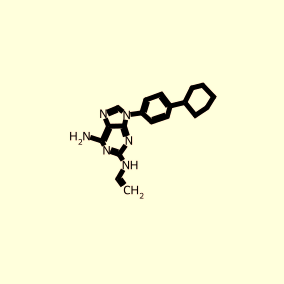 C=CNc1nc(N)c2ncn(-c3ccc(C4CCCCC4)cc3)c2n1